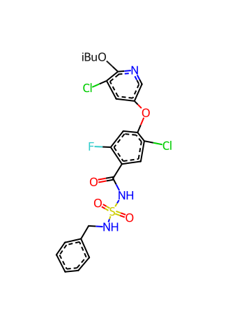 CC(C)COc1ncc(Oc2cc(F)c(C(=O)NS(=O)(=O)NCc3ccccc3)cc2Cl)cc1Cl